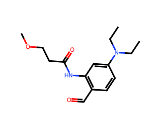 CCN(CC)c1ccc(C=O)c(NC(=O)CCOC)c1